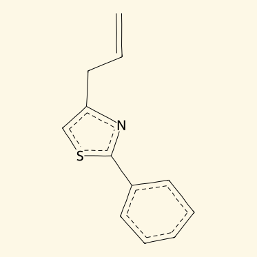 C=CCc1csc(-c2ccccc2)n1